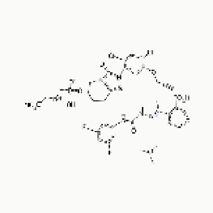 C#CCOc1cc(-n2nc3n(c2=O)CCCC3)c(Cl)cc1Cl.C/C(=N\NC(=O)Nc1cc(F)cc(F)c1)c1ncccc1C(=O)O.C[S+](C)C.O=C(O)CNCP(=O)([O-])O